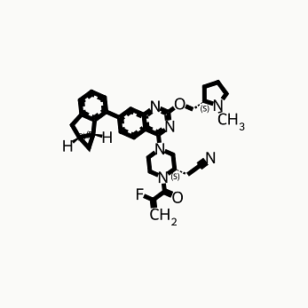 C=C(F)C(=O)N1CCN(c2nc(OC[C@@H]3CCCN3C)nc3cc(-c4cccc5c4[C@@H]4C[C@@H]4C5)ccc23)C[C@@H]1CC#N